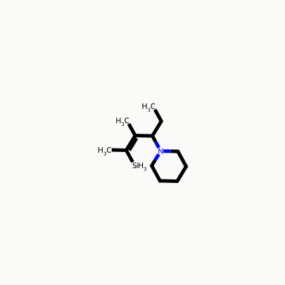 CCC(C(C)=C(C)[SiH3])N1CCCCC1